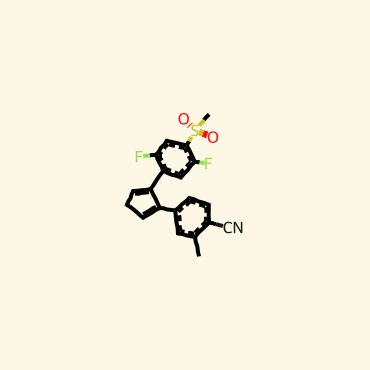 Cc1cc(C2=CCC=C2c2cc(F)c(S(C)(=O)=O)cc2F)ccc1C#N